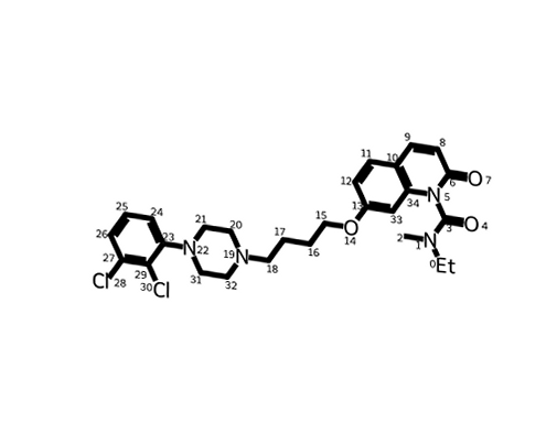 CCN(C)C(=O)n1c(=O)ccc2ccc(OCCCCN3CCN(c4cccc(Cl)c4Cl)CC3)cc21